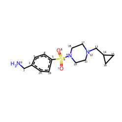 NCc1ccc(S(=O)(=O)N2CCN(CC3CC3)CC2)cc1